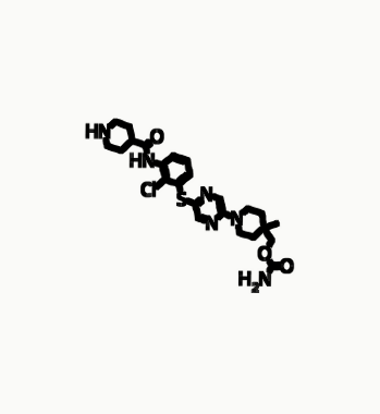 CC1(COC(N)=O)CCN(c2cnc(Sc3cccc(NC(=O)C4CCNCC4)c3Cl)cn2)CC1